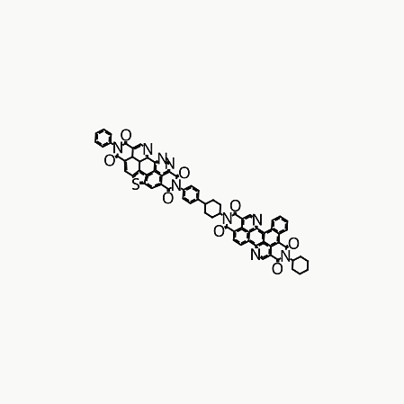 O=C1C2=CN=C3c4nnc5c6c(cc7sc8c(c7c46)C3C2C(=C8)C(=O)N1c1ccccc1)C(=O)N(c1ccc(C2CCC(N3C(=O)c4ccc6c7ncc8c9c(c%10ccccc%10c(c%10ncc(c4c6%10)C3=O)c97)C(=O)N(C3CCCCC3)C8=O)CC2)cc1)C5=O